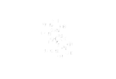 CC[N](C)[Ga]([N](C)CC)[N](C)CC.C[N](C)[Ga]([N](C)C)[N](C)C